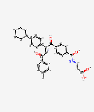 Cc1ccc(C(=O)/C=C(/C(=O)c2ccc(C(=O)NCCC(=O)O)cc2)c2ccc(C3CCCCC3)cc2)cc1